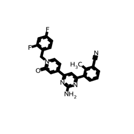 Cc1c(C#N)cccc1-c1cc(-c2ccn(Cc3ccc(F)cc3F)c(=O)c2)nc(N)n1